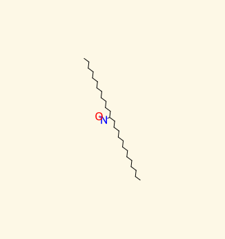 CCCCCCCCCCCCCC(CCCCCCCCCCCC)N=O